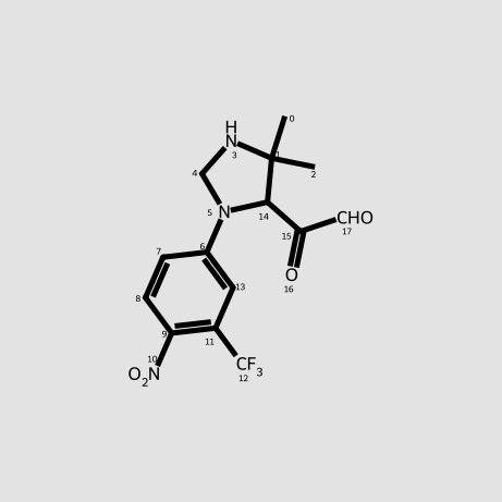 CC1(C)NCN(c2ccc([N+](=O)[O-])c(C(F)(F)F)c2)C1C(=O)C=O